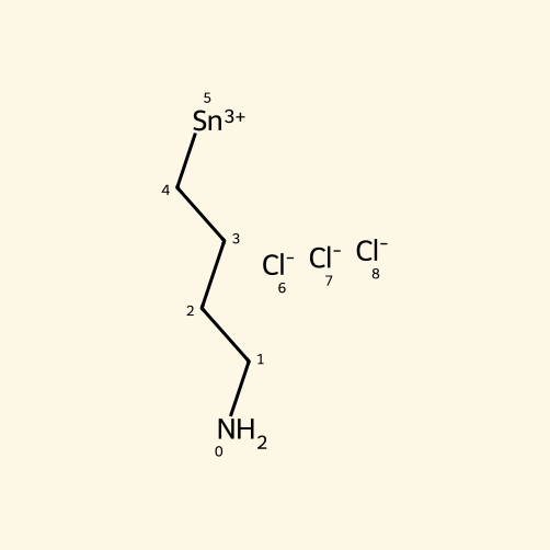 NCCC[CH2][Sn+3].[Cl-].[Cl-].[Cl-]